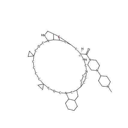 CC1CC2CC3CNN(COCC4(CCCCC5(CC5)COCN5CC(CC6CCCCC65)C5CCN(CC5)CN[C@H](C(=O)N5CCN(C6CCN(C)CC6)CC5)C2)CC4)C13